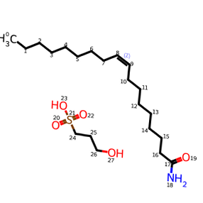 CCCCCCCC/C=C\CCCCCCCC(N)=O.O=S(=O)(O)CCCO